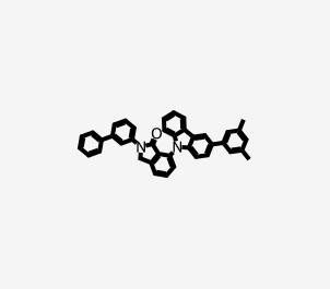 Cc1cc(C)cc(-c2ccc3c(c2)c2ccccc2n3-c2cccc3c2C(=O)N(c2cccc(-c4ccccc4)c2)C3)c1